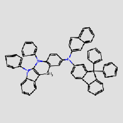 c1ccc(N2c3ccc(N(c4ccc5c(c4)C(c4ccccc4)(c4ccccc4)c4ccccc4-5)c4ccc5ccccc5c4)cc3[SiH2]c3c2n(-c2ccccc2)c2ccccc32)cc1